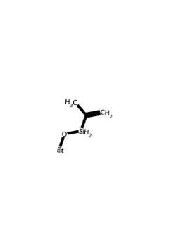 C=C(C)[SiH2]OCC